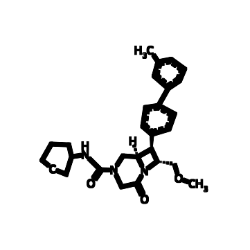 COC[C@H]1[C@H](c2ccc(-c3cccc(C)c3)cc2)[C@@H]2CN(C(=O)NC3CCCCC3)CC(=O)N12